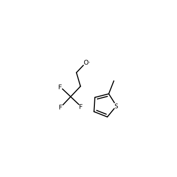 Cc1cccs1.[O]CCC(F)(F)F